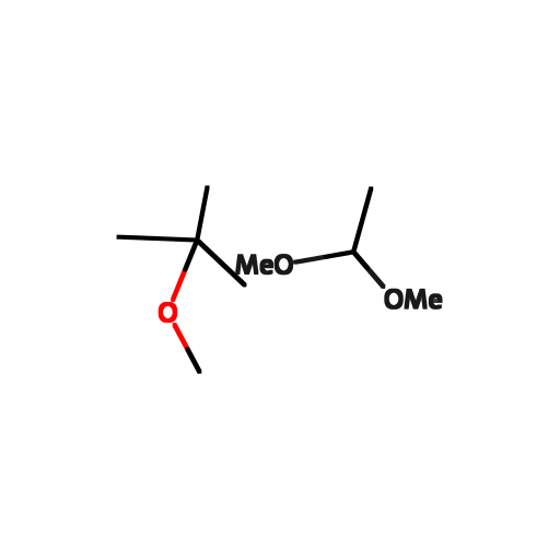 COC(C)(C)C.COC(C)OC